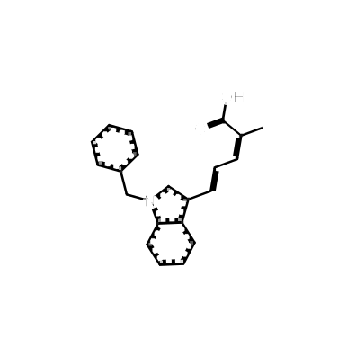 CC(=CC=Cc1cn(Cc2ccccc2)c2ccccc12)C(=O)O